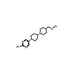 CC(C)OCC1CCN([C@H]2CC[C@H](c3cnc(C(C)C)nc3)CC2)CC1